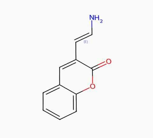 N/C=C/c1cc2ccccc2oc1=O